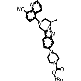 C[C@@H]1CN(c2ccc(C#N)c3ncccc23)Cc2c3ccc(N4CCN(C(=O)OC(C)(C)C)CC4)cc3nn21